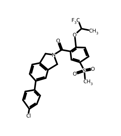 CC(Oc1ccc(S(C)(=O)=O)cc1C(=O)N1Cc2ccc(-c3ccc(Cl)cc3)cc2C1)C(F)(F)F